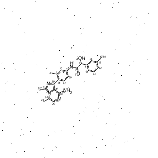 Cc1cc(NC(=O)C(O)c2cccc(F)c2)ccc1-c1nc(C)n2c(C)cnc(N)c12